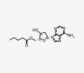 CCCCC(=O)OC[C@H]1O[C@@H](n2cnc3c(N)ncnc32)C[C@@H]1O